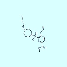 C=CCc1ccc(C(=O)OC)cc1S(=O)(=O)N1CCCC(OCCCC)CC1